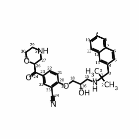 CC(C)(Cc1ccc2ccccc2c1)NC[C@@H](O)COc1ccc(C(=O)C2CNCCO2)cc1C#N